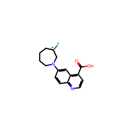 O=C(O)c1ccnc2ccc(N3CCCC[C@@H](F)C3)cc12